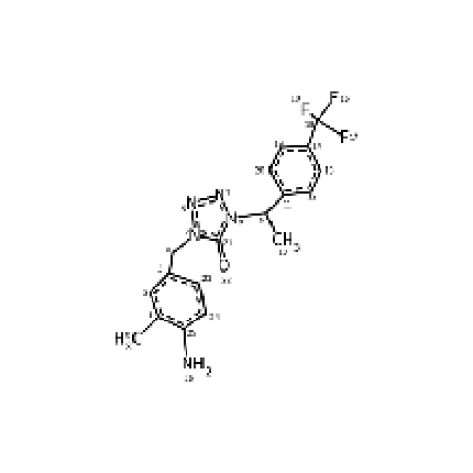 Cc1cc(Cn2nnn(C(C)c3ccc(C(F)(F)F)cc3)c2=O)ccc1N